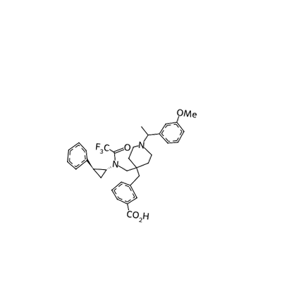 COc1cccc(C(C)N2CCC(Cc3cccc(C(=O)O)c3)(CN(C(=O)C(F)(F)F)[C@@H]3C[C@H]3c3ccccc3)CC2)c1